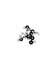 COc1nc(C2(c3ccc4c(n3)N(C)CC[C@@H]4NC[C@@H]3CCC(=O)N3)C=CC=C(c3ccccc3Cl)C2Cl)ccc1CNC[C@@H]1CCC(=O)N1